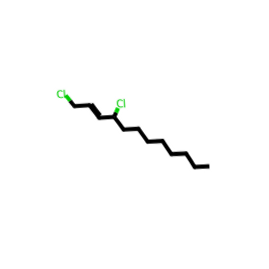 CCCCCCCCC(Cl)C=CCCl